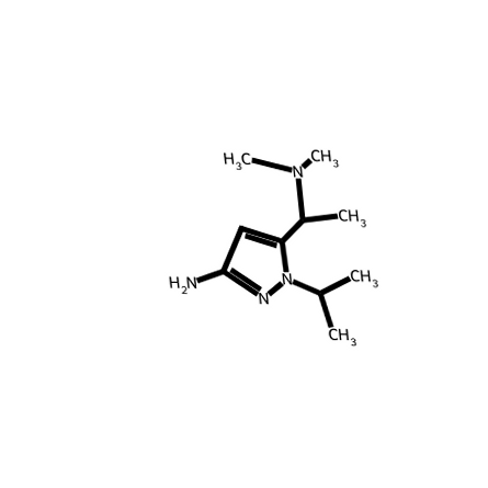 CC(c1cc(N)nn1C(C)C)N(C)C